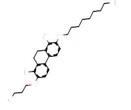 CCCCCCCCCOc1ccc2c(c1F)CCc1c-2ccc(OCCCC)c1F